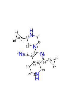 N#Cc1c(N2CCN[C@H](C3=CC3)C2)nc(C2CC2)c2c1CCNC2